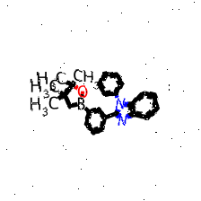 CC1(C)CB(c2cccc(-c3nc4ccccc4n3-c3ccccc3)c2)OC1(C)C